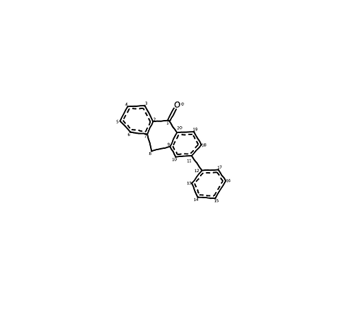 O=C1c2ccccc2Cc2cc(-c3ccccc3)ccc21